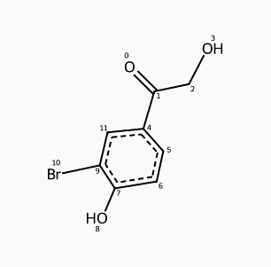 O=C(CO)c1ccc(O)c(Br)c1